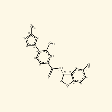 COc1nc(C(=O)N[C@H]2COc3ccc(Cl)cc32)ccc1-n1cnc(C)c1